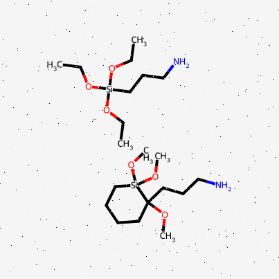 CCO[Si](CCCN)(OCC)OCC.COC1(CCCN)CCCC[Si]1(OC)OC